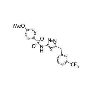 COc1ccc(S(=O)(=O)Nc2nnc(Cc3cccc(C(F)(F)F)c3)s2)cc1